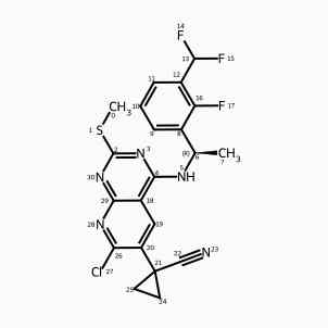 CSc1nc(N[C@H](C)c2cccc(C(F)F)c2F)c2cc(C3(C#N)CC3)c(Cl)nc2n1